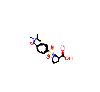 CC(C)N(C)C(=O)c1ccc(S(=O)(=O)N2CCCC(C(=O)O)C2)cc1